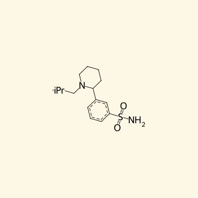 C[C](C)CN1CCCCC1c1cccc(S(N)(=O)=O)c1